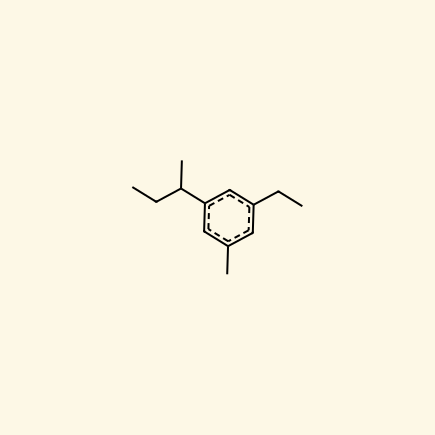 CCc1cc(C)cc(C(C)CC)c1